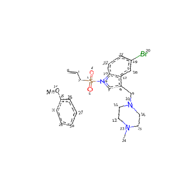 C=CCS(=O)(=O)n1cc(CN2CCN(C)CC2)c2cc(Br)ccc21.COc1ccccc1